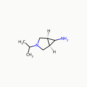 CC(C)N1C[C@@H]2C(N)[C@@H]2C1